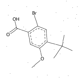 COc1cc(C(=O)O)c(Br)cc1C(C)(C)C